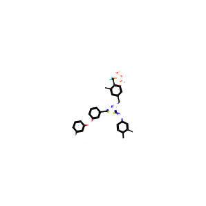 Cc1ccc(/N=c2\sc(-c3cccc(Oc4cccc(C(=O)O)c4)c3)nn2Cc2ccc(C(F)(F)P(=O)(O)O)c(C)c2)cc1C